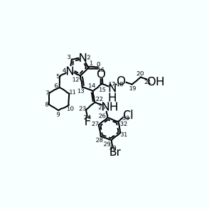 C=c1ncn(CC2CCCCC2)/c1=C/C(C(=O)NOCCO)=C(\CF)Nc1ccc(Br)cc1Cl